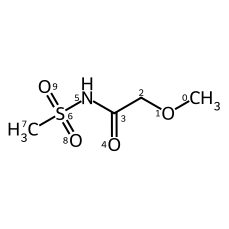 COCC(=O)NS(C)(=O)=O